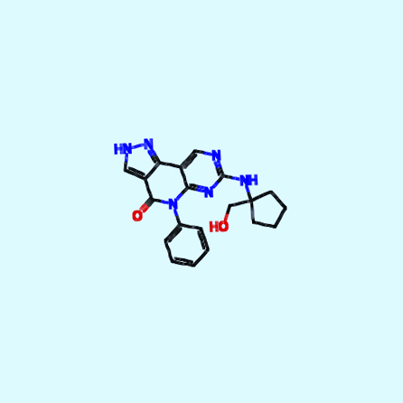 O=c1c2c[nH]nc2c2cnc(NC3(CO)CCCC3)nc2n1-c1ccccc1